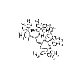 CC(C)(C)C1=CC(=Cc2cc(C(C)(C)C)[te+]c(C(C)(C)C)c2I)C=C(C(C)(C)C)S1.[Cl-]